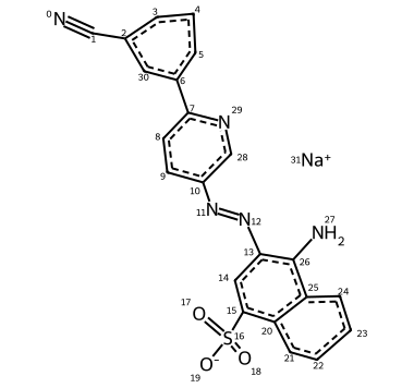 N#Cc1cccc(-c2ccc(N=Nc3cc(S(=O)(=O)[O-])c4ccccc4c3N)cn2)c1.[Na+]